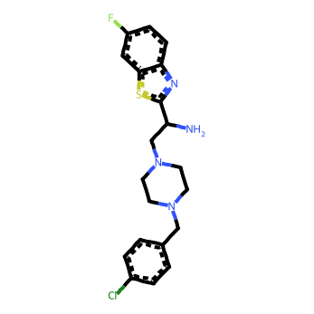 NC(CN1CCN(Cc2ccc(Cl)cc2)CC1)c1nc2ccc(F)cc2s1